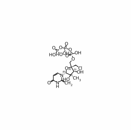 C=C1NC(=O)C=CN1[C@@H]1O[C@](CCl)(COP(=O)(O)OP(=O)(O)OP(=O)(O)O)[C@@H](O)[C@@]1(C)O